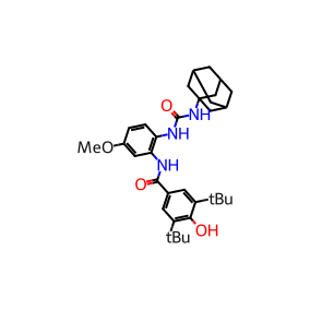 COc1ccc(NC(=O)NC23CC4CC(CC(C4)C2)C3)c(NC(=O)c2cc(C(C)(C)C)c(O)c(C(C)(C)C)c2)c1